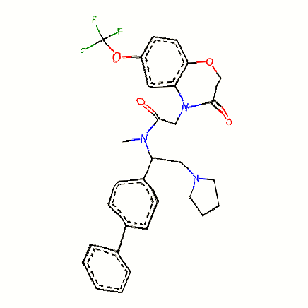 CN(C(=O)CN1C(=O)COc2ccc(OC(F)(F)F)cc21)C(CN1CCCC1)c1ccc(-c2ccccc2)cc1